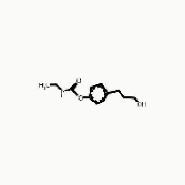 CCNC(=O)Oc1ccc(CCCO)cc1